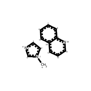 Cn1ccnc1.c1ccc2ncccc2c1